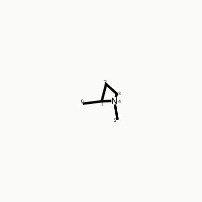 CC1CCN1C